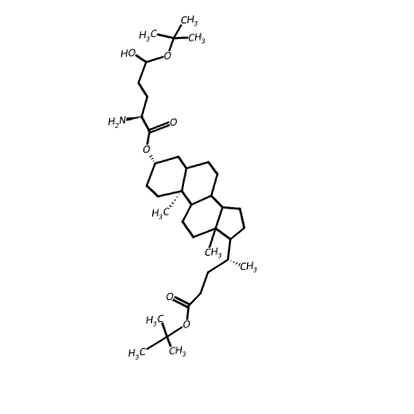 C[C@H](CCC(=O)OC(C)(C)C)C1CCC2C3CCC4C[C@@H](OC(=O)[C@@H](N)CCC(O)OC(C)(C)C)CC[C@]4(C)C3CCC21C